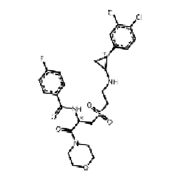 O=C(N[C@@H](CS(=O)(=O)CCNC1C[C@H]1c1ccc(Cl)c(Cl)c1)C(=O)N1CCOCC1)c1ccc(F)cc1